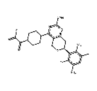 C=C(F)C(=O)N1CCN(c2nc(OC)nc3c2CO[C@H](c2c(F)c(N)cc(C)c2C(F)(F)F)C3)CC1